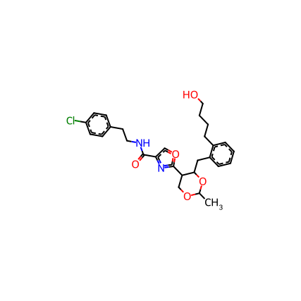 CC1OCC(c2nc(C(=O)NCCc3ccc(Cl)cc3)co2)C(Cc2ccccc2CCCCO)O1